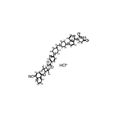 CC1(C)[C@H](NC(=O)c2ccc(N3CCC(CN4CCC(n5ccc6c(N7CCC(=O)NC7=O)nccc65)CC4)CC3)nc2)C(C)(C)[C@H]1Oc1ccc(C#N)c2ncccc12.Cl